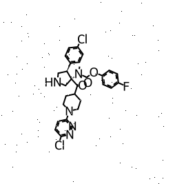 CN(C(=O)Oc1ccc(F)cc1)[C@]1(C(=O)C2CCN(c3ccc(Cl)nn3)CC2)CNC[C@H]1c1ccc(Cl)cc1